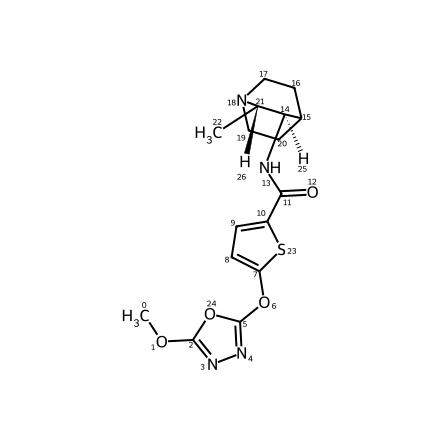 COc1nnc(Oc2ccc(C(=O)N[C@@H]3C4CCN(CC4)[C@H]3C)s2)o1